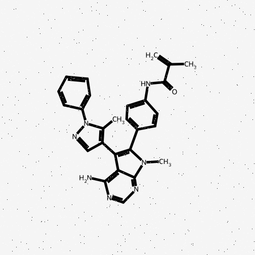 C=C(C)C(=O)Nc1ccc(-c2c(-c3cnn(-c4ccccc4)c3C)c3c(N)ncnc3n2C)cc1